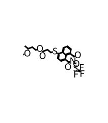 COC(C)CCOC(=O)CCSc1ccc2c3c(cccc13)C(=O)N(OSC(F)(F)F)C2=O